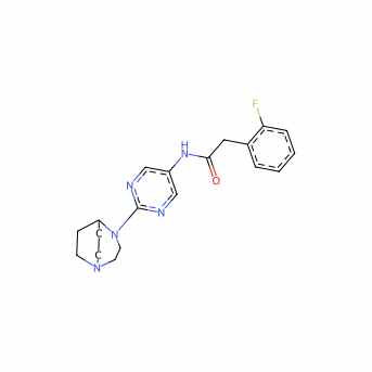 O=C(Cc1ccccc1F)Nc1cnc(N2CCN3CCC2CC3)nc1